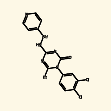 CCc1nc(NNc2ccncc2)nc(=O)n1-c1ccc(Cl)c(Cl)c1